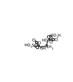 CN(CCCCC(O)c1cn(-c2ccc(Cl)cc2Cl)c2c1CCCc1cc(S(=O)(=O)O)sc1-2)CCCCC(O)c1cn(-c2ccc(Cl)cc2Cl)c2c1CCCc1cc(S(=O)(=O)O)sc1-2